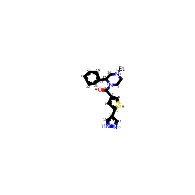 CCN1CCN(C(=O)c2csc(-c3cn[nH]c3)c2)C(c2ccccc2)C1